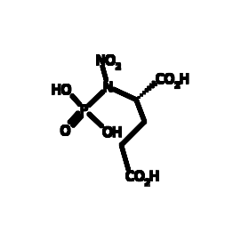 O=C(O)CC[C@@H](C(=O)O)N([N+](=O)[O-])P(=O)(O)O